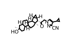 C[C@@]1(O)CC[C@H]2[C@H](CC[C@H]3C4[C@@H]5C[C@@H]5[C@H](C(=O)Cn5cc(C6CC6)c(C#N)n5)[C@@]4(C)CC[C@H]23)C1